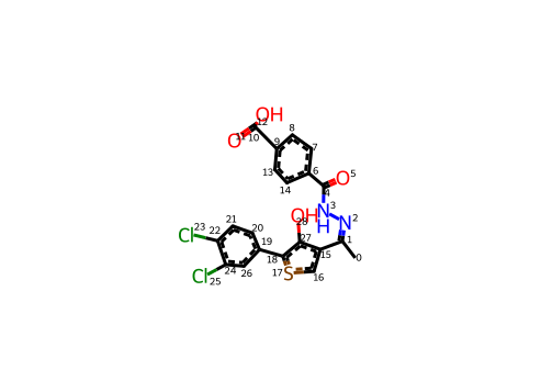 CC(=NNC(=O)c1ccc(C(=O)O)cc1)c1csc(-c2ccc(Cl)c(Cl)c2)c1O